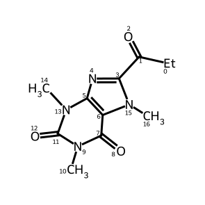 CCC(=O)c1nc2c(c(=O)n(C)c(=O)n2C)n1C